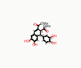 COC(=O)C1=Cc2cc(O)c(O)cc2C(c2ccc(O)c(O)c2)C1C(=O)OC